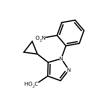 O=C(O)c1cnn(-c2ccccc2[N+](=O)[O-])c1C1CC1